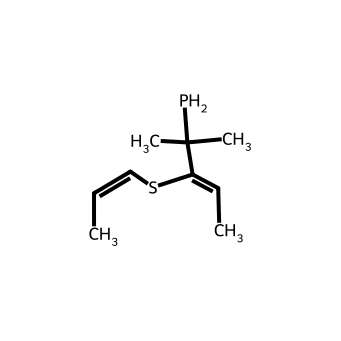 C/C=C\S/C(=C\C)C(C)(C)P